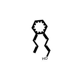 C=C/C=c1/cccc/c1=C/C=C/O